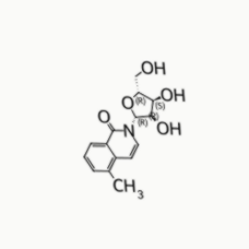 Cc1cccc2c(=O)n([C@@H]3O[C@H](CO)[C@@H](O)[C@H]3O)ccc12